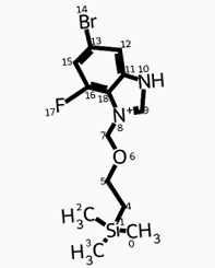 C[Si](C)(C)CCOC[n+]1c[nH]c2cc(Br)cc(F)c21